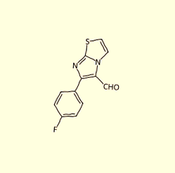 O=Cc1c(-c2ccc(F)cc2)nc2sccn12